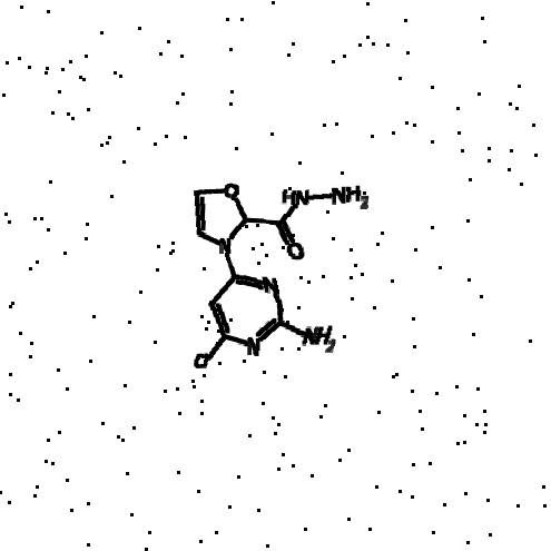 NNC(=O)C1OC=CN1c1cc(Cl)nc(N)n1